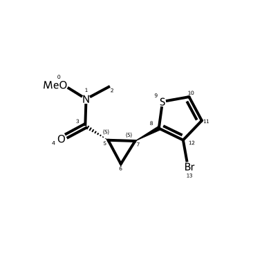 CON(C)C(=O)[C@H]1C[C@@H]1c1sccc1Br